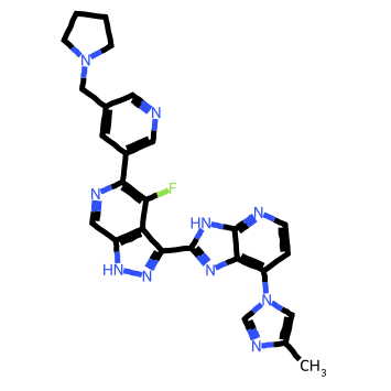 Cc1cn(-c2ccnc3[nH]c(-c4n[nH]c5cnc(-c6cncc(CN7CCCC7)c6)c(F)c45)nc23)cn1